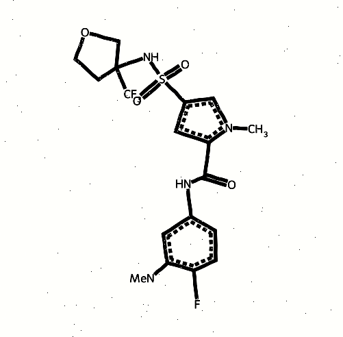 CNc1cc(NC(=O)c2cc(S(=O)(=O)NC3(C(F)(F)F)CCOC3)cn2C)ccc1F